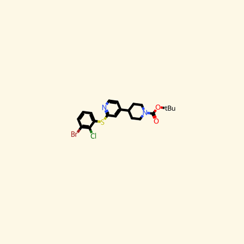 CC(C)(C)OC(=O)N1CCC(c2ccnc(Sc3cccc(Br)c3Cl)c2)CC1